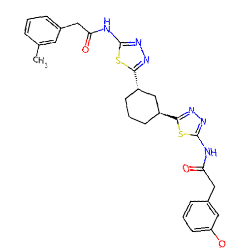 Cc1cccc(CC(=O)Nc2nnc([C@H]3CCC[C@H](c4nnc(NC(=O)Cc5cccc(OC(F)(F)F)c5)s4)C3)s2)c1